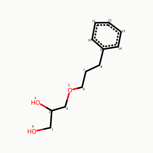 OCC(O)COCCCc1cc[c]cc1